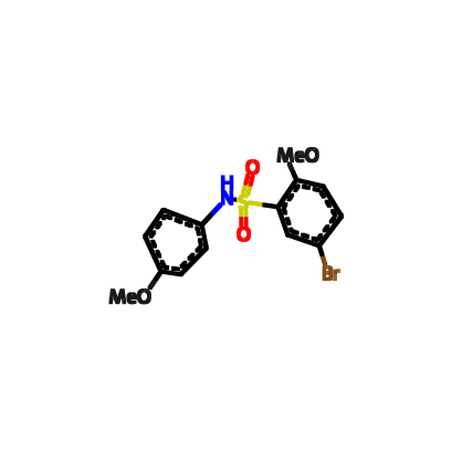 COc1ccc(NS(=O)(=O)c2cc(Br)ccc2OC)cc1